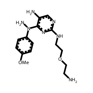 COc1ccc(N(N)c2nc(NCCOCCN)ncc2N)cc1